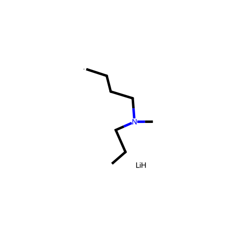 [CH2]CCCN(C)CCC.[LiH]